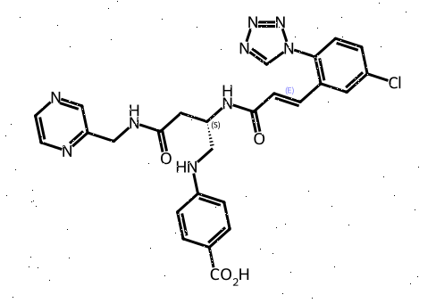 O=C(/C=C/c1cc(Cl)ccc1-n1cnnn1)N[C@H](CNc1ccc(C(=O)O)cc1)CC(=O)NCc1cnccn1